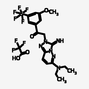 CCN(CC)c1ccc2nn(CC(=O)c3cc(OC)cc(S(F)(F)(F)(F)F)c3)c(=N)n2n1.O=C(O)C(F)(F)F